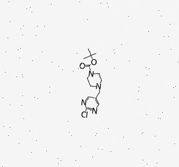 CC(C)(C)OC(=O)N1CCN(Cc2cnc(Cl)nc2)CC1